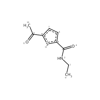 CCNC(=O)c1ccc(C(C)=O)s1